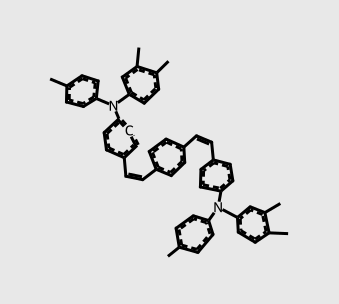 Cc1ccc(N(c2ccc(/C=C\c3ccc(/C=C\c4ccc(N(c5ccc(C)cc5)c5ccc(C)c(C)c5)cc4)cc3)cc2)c2ccc(C)c(C)c2)cc1